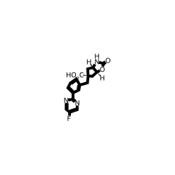 O=C1N[C@@H]2C[C@@](Cc3cccc(-c4ncc(F)cn4)c3)(C(=O)O)C[C@@H]2O1